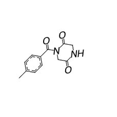 Cc1ccc(C(=O)N2CC(=O)NCC2=O)cc1